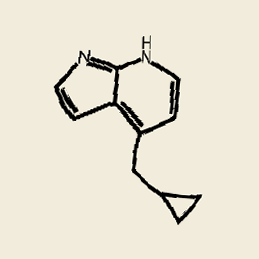 c1cc2c(CC3CC3)cc[nH]c-2n1